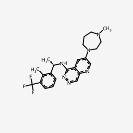 Cc1c([C@@H](C)Nc2nncc3ncc(N4CCCN(C)CC4)cc23)cccc1C(F)(F)F